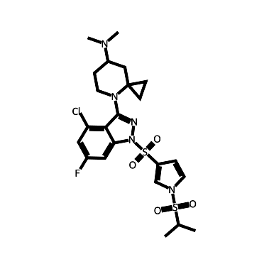 CC(C)S(=O)(=O)n1ccc(S(=O)(=O)n2nc(N3CCC(N(C)C)CC34CC4)c3c(Cl)cc(F)cc32)c1